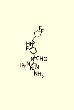 CC(C)N(C)c1nc(N)ncc1/N=C(\C=O)c1ccc(NSCC2CCC(F)(F)CC2)c(F)c1